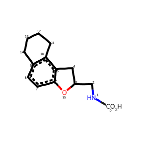 O=C(O)NCC1Cc2c(ccc3c2CCCC3)O1